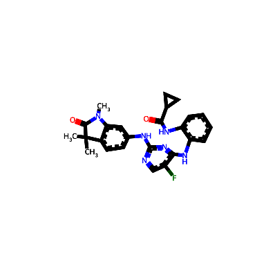 CN1C(=O)C(C)(C)c2ccc(Nc3ncc(F)c(Nc4ccccc4NC(=O)C4CC4)n3)cc21